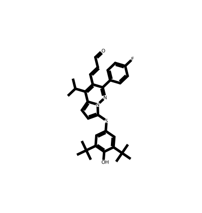 CC(C)c1c(/C=C/C=O)c(-c2ccc(F)cc2)nn2c(Sc3cc(C(C)(C)C)c(O)c(C(C)(C)C)c3)ccc12